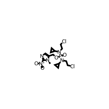 Cn1c(COP(=O)(N(CCCl)C2CC2)N(CCCl)C2CC2)cnc1[N+](=O)[O-]